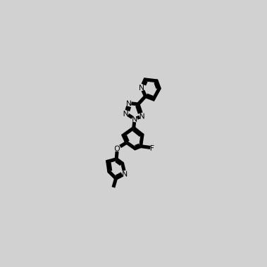 Cc1ccc(Oc2cc(F)cc(-n3nnc(-c4ccccn4)n3)c2)cn1